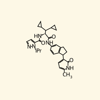 Cc1ccc(C2CCc3cc(NC(=O)[C@@H](NC(=O)c4ccnn4C(C)C)C(C4CC4)C4CC4)ccc32)c(=O)[nH]1